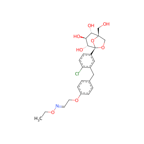 CCO/N=C/COc1ccc(Cc2cc([C@]34OC[C@](CO)(O3)[C@@H](O)[C@H](O)[C@H]4O)ccc2Cl)cc1